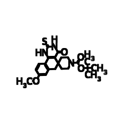 COc1ccc2c(c1)CC1(CCN(C(=O)OC(C)(C)C)CC1)c1c-2[nH]c(=S)[nH]c1=O